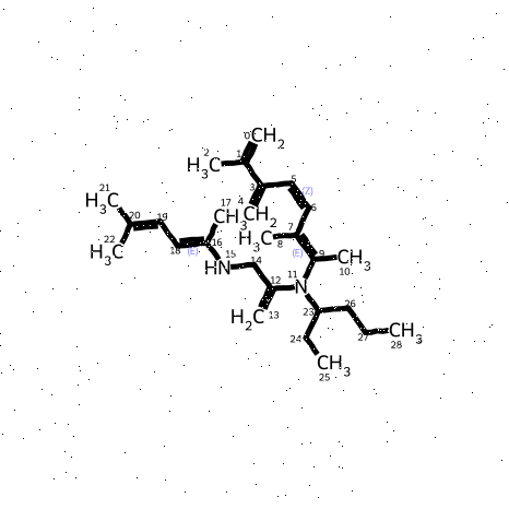 C=C(C)C(=C)/C=C\C(C)=C(/C)N(C(=C)CN/C(C)=C/C=C(C)C)C(CC)CCC